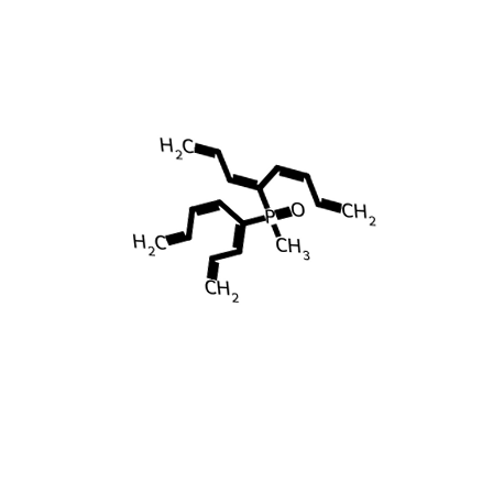 C=C/C=C\C(=C/C=C)P(C)(=O)C(/C=C\C=C)=C/C=C